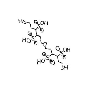 O=S(=O)(O)C(CCS)C(CCOCCC(C(CCS)S(=O)(=O)O)S(=O)(=O)O)S(=O)(=O)O